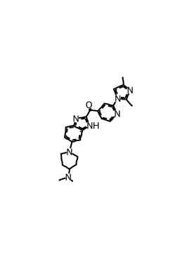 Cc1cn(-c2cc(C(=O)c3nc4ccc(N5CCC(N(C)C)CC5)cc4[nH]3)ccn2)c(C)n1